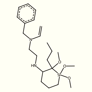 C=CN(CCNC1CCC[Si](OC)(OC)C1(CCC)OC)Cc1ccccc1